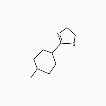 CC1CCC(C2=NCCS2)CC1